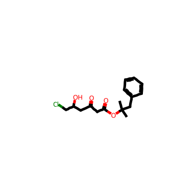 CC(C)(Cc1ccccc1)OC(=O)CC(=O)CC(O)CCl